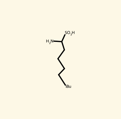 CCC(C)CCCCC(N)S(=O)(=O)O